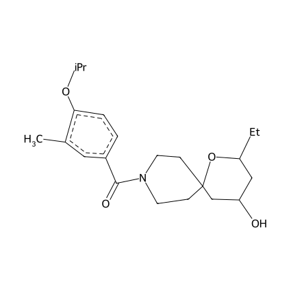 CCC1CC(O)CC2(CCN(C(=O)c3ccc(OC(C)C)c(C)c3)CC2)O1